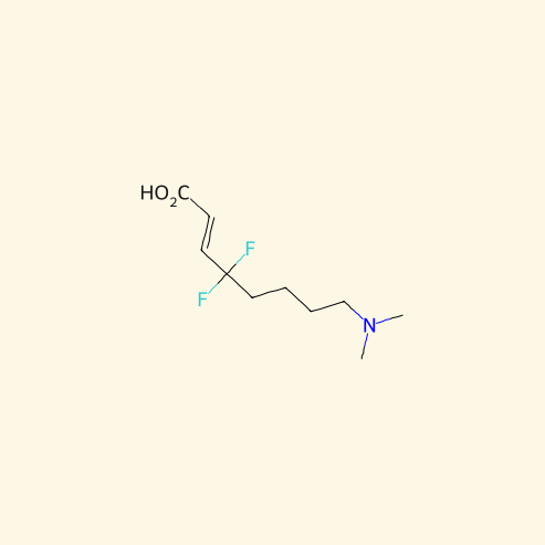 CN(C)CCCCC(F)(F)C=CC(=O)O